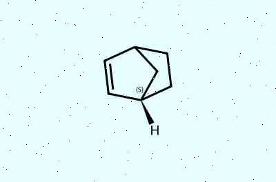 C1=C[C@H]2CCC1C2